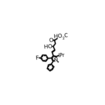 CC(C)c1c(/C=C/C(O)CC(=O)CC(=O)O)c(-c2ccc(F)cc2)c(-c2ccccc2)n1C